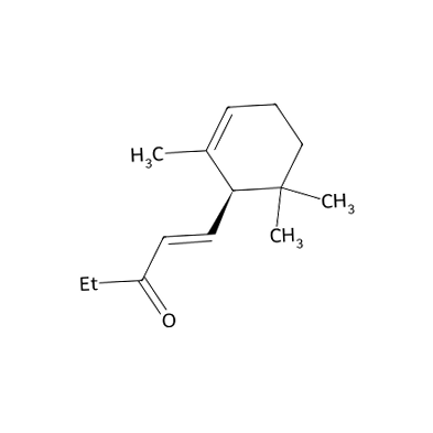 CCC(=O)/C=C/[C@H]1C(C)=CCCC1(C)C